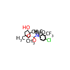 Cc1c(N(C=O)C(=O)[C@@H]2[C@H](C)C3(C)C[C@H](O)C2(C)O3)ccc(Cl)c1C(F)(F)F